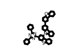 c1ccc(-c2nc(-c3ccccc3)nc(-c3cc(-n4c5ccccc5c5cc(-c6ccc7oc8ccccc8c7c6)ccc54)c4c(c3)sc3ccccc34)n2)cc1